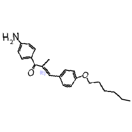 CCCCCCOc1ccc(/C=C(\C)C(=O)c2ccc(N)cc2)cc1